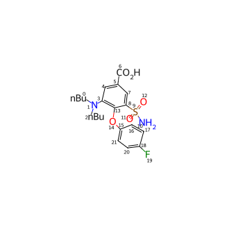 CCCCN(CCCC)c1cc(C(=O)O)cc(S(N)(=O)=O)c1Oc1ccc(F)cc1